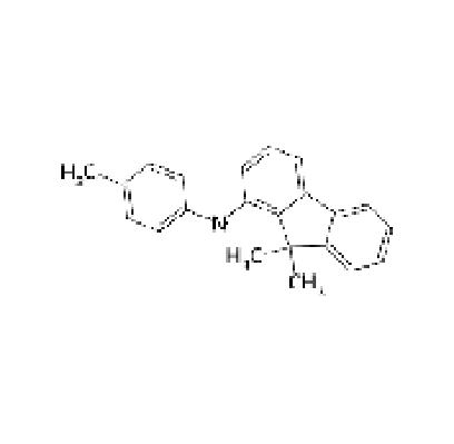 Cc1ccc([N]c2cccc3c2C(C)(C)c2ccccc2-3)cc1